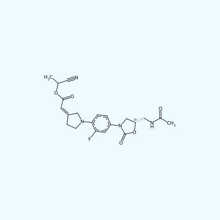 CC(=O)NC[C@H]1CN(c2ccc(N3CCC(=CC(=O)OC(C)C#N)C3)c(F)c2)C(=O)O1